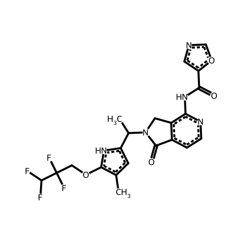 Cc1cc(C(C)N2Cc3c(ccnc3NC(=O)c3cnco3)C2=O)[nH]c1OCC(F)(F)C(F)F